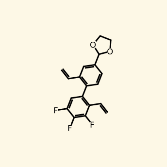 C=Cc1cc(C2OCCO2)ccc1-c1cc(F)c(F)c(F)c1C=C